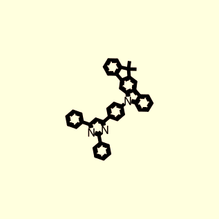 CC1(C)c2ccccc2-c2cc3c(cc21)c1ccccc1n3-c1ccc(-c2cc(-c3ccccc3)nc(-c3ccccc3)n2)cc1